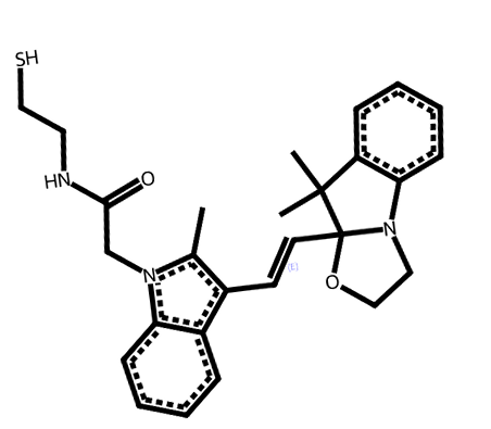 Cc1c(/C=C/C23OCCN2c2ccccc2C3(C)C)c2ccccc2n1CC(=O)NCCS